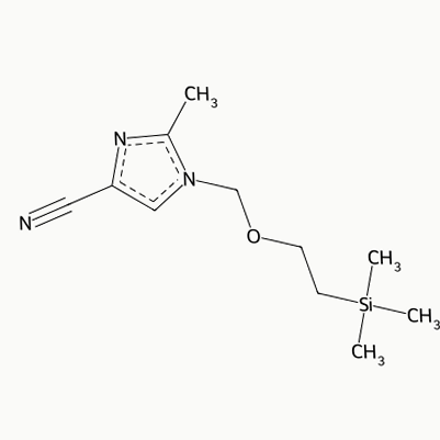 Cc1nc(C#N)cn1COCC[Si](C)(C)C